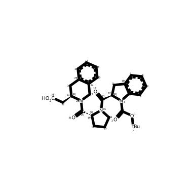 CC(C)(C)OC(=O)N1c2ccccc2C[C@@H]1C(=O)N1CCC[C@@H]1C(=O)N1Cc2ccccc2C[C@@H]1CC(=O)O